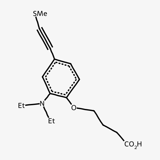 CCN(CC)c1cc(C#CSC)ccc1OCCCC(=O)O